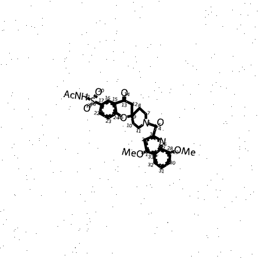 COc1cc(C(=O)N2CCC3(CC2)CC(=O)c2cc(S(=O)(=O)NC(C)=O)ccc2O3)nc2c(OC)cccc12